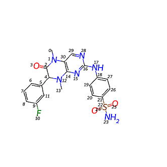 CN1C(=O)C(c2cccc(F)c2)N(C)c2nc(Nc3ccc(S(N)(=O)=O)cc3)ncc21